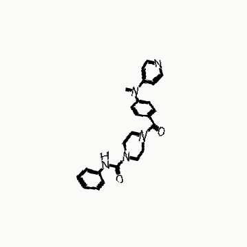 CN(c1ccncc1)c1ccc(C(=O)N2CCN(C(=O)Nc3ccccc3)CC2)cc1